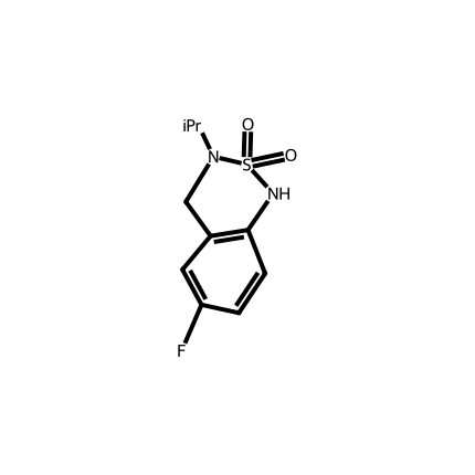 CC(C)N1Cc2cc(F)ccc2NS1(=O)=O